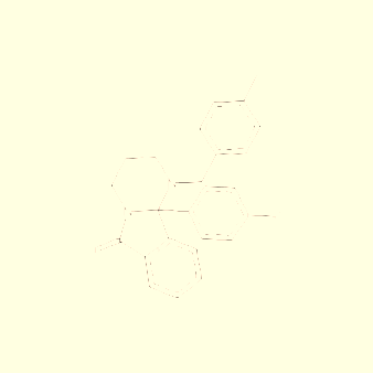 Cc1ccc(CN2CCCN3C(=O)c4ccccc4C23c2ccc(Cl)cc2)cc1